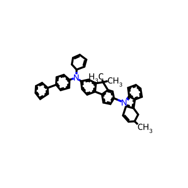 CC1C=Cc2c(c3ccccc3n2-c2ccc3c(c2)C(C)(C)c2cc(N(c4ccc(-c5ccccc5)cc4)C4C=CC=CC4)ccc2-3)C1